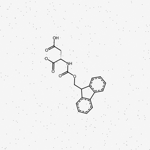 [O]C(=O)[C@H](CC(=O)O)NC(=O)OCC1c2ccccc2-c2ccccc21